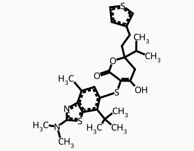 Cc1cc(SC2=C(O)CC(CCc3ccsc3)(C(C)C)OC2=O)c(C(C)(C)C)c2sc(N(C)C)nc12